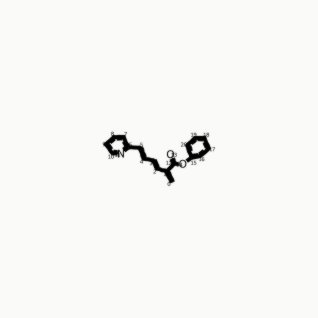 C=C(C=C/C=C/c1ccccn1)C(=O)Oc1ccccc1